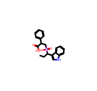 CCC(c1c[nH]c2ccccc12)P(=O)(O)CC(C(=O)O)c1ccccc1